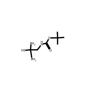 BC(B)(S)CNC(=O)OC(C)(C)C